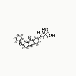 NC(CO)(CO)CCc1ccc2sc3ccc(Oc4ccccc4)cc3c(=O)c2c1